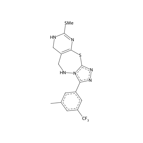 CSC1=NC2=C(CN1)CNn1c(nnc1-c1cc(C)cc(C(F)(F)F)c1)S2